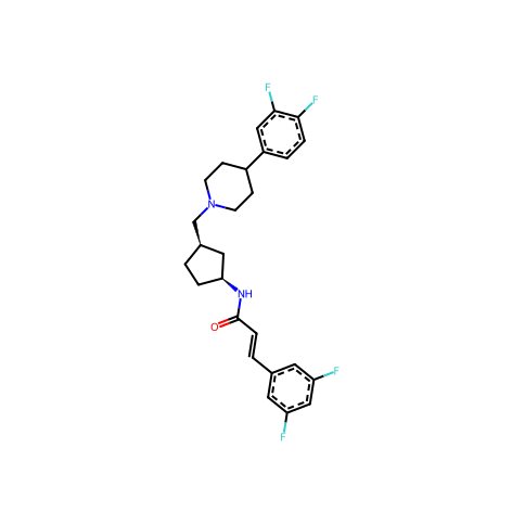 O=C(/C=C/c1cc(F)cc(F)c1)N[C@H]1CC[C@@H](CN2CCC(c3ccc(F)c(F)c3)CC2)C1